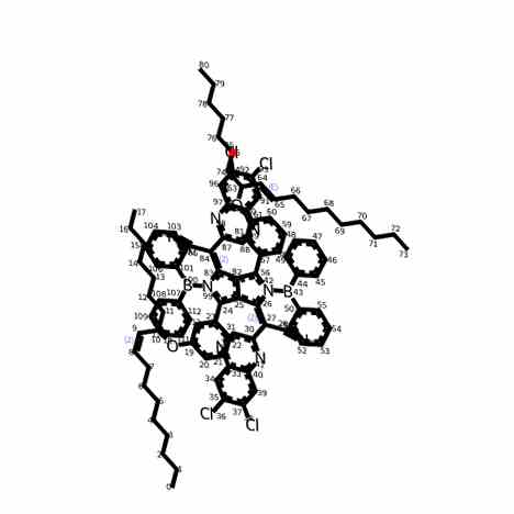 CCCCCCCC/C=C\C(CCCCCCC)Oc1cccc(-c2c3/c(=C(/C#N)c4cnc5cc(Cl)c(Cl)cc5n4)n(B(c4ccccc4)c4ccccc4)c(-c4cccc(OC(/C=C/CCCCCCCC)CCCCCCC)c4)c3/c(=C(/C#N)c3cnc4cc(Cl)c(Cl)cc4n3)n2B(c2ccccc2)c2ccccc2)c1